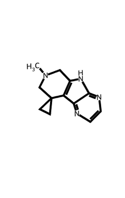 CN1Cc2[nH]c3nccnc3c2C2(CC2)C1